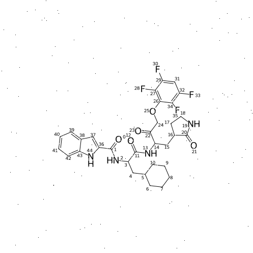 O=C(NC(CC1CCCCC1)C(=O)NC(CC1CCNC1=O)C(=O)COc1c(F)c(F)cc(F)c1F)c1cc2ccccc2[nH]1